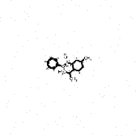 CC1CCC(C(C)C)C([PH](=O)Oc2ccccc2)C1